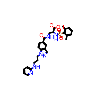 Cc1cccc(C)c1S(=O)(=O)NC(CNC(=O)c1ccc2c(cnn2CCCNc2ccccn2)c1)C(=O)O